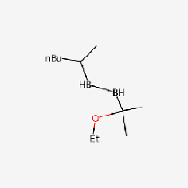 CCCCC(C)BBC(C)(C)OCC